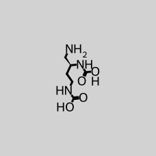 NC[C@H](CCNC(=O)O)NC(=O)O